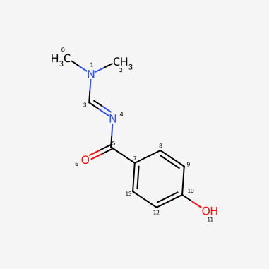 CN(C)C=NC(=O)c1ccc(O)cc1